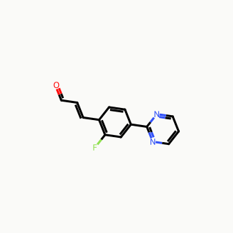 O=C/C=C/c1ccc(-c2ncccn2)cc1F